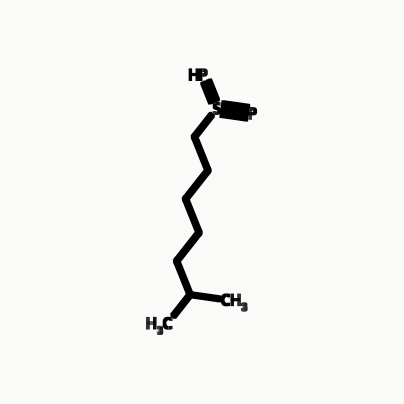 CC(C)CCCCCS(#P)=P